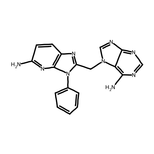 Nc1ccc2nc(Cn3cnc4ncnc(N)c43)n(-c3ccccc3)c2n1